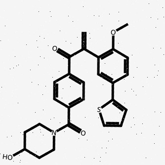 C=C(C(=O)c1ccc(C(=O)N2CCC(O)CC2)cc1)c1cc(-c2cccs2)ccc1OC